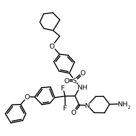 NC1CCN(C(=O)C(NS(=O)(=O)c2ccc(OCC3CCCCC3)cc2)C(F)(F)c2ccc(Oc3ccccc3)cc2)CC1